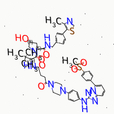 Cc1ncsc1-c1ccc(CNC(=O)[C@@H]2C[C@@H](O)CN2C(=O)[C@@H](NC(=O)CCC(=O)N2CCN(c3ccc(Nc4nc5cccc(-c6ccc(S(C)(=O)=O)cc6)n5n4)cc3)CC2)C(C)(C)C)cc1